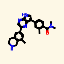 Cc1cc(-c2c[nH]c3ncc(-c4cc(C)c5c(c4)CCNC5)nc23)ccc1C(=O)N(C)C